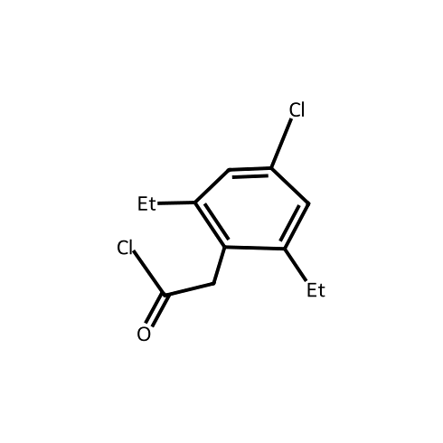 CCc1cc(Cl)cc(CC)c1CC(=O)Cl